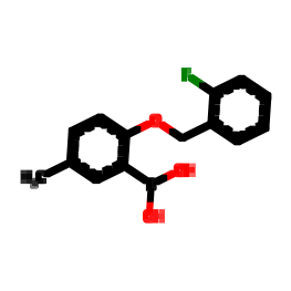 Cc1ccc(OCc2ccccc2F)c(B(O)O)c1